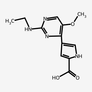 CCNc1ncc(OC)c(-c2c[nH]c(C(=O)O)c2)n1